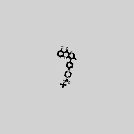 Cc1cnc2c(=O)c3c(Cl)cccc3oc2c1-c1ccc(N2CCN(C(=O)OC(C)(C)C)CC2)cc1